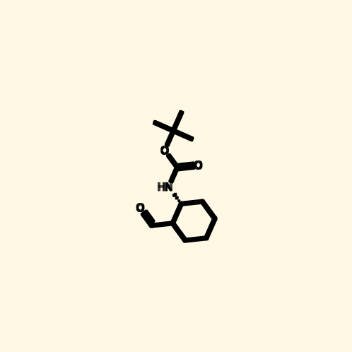 CC(C)(C)OC(=O)N[C@@H]1CCCCC1C=O